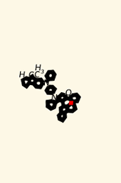 CC1(C)C2=CCCC=C2c2ccc(N(c3ccccc3)c3ccc(-n4c5ccccc5c5c(-c6cc7ccccc7c7ccccc67)c6c(cc54)oc4ccccc46)cc3)cc21